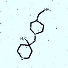 CC1(CN2CCC(CN)CC2)CCOCC1